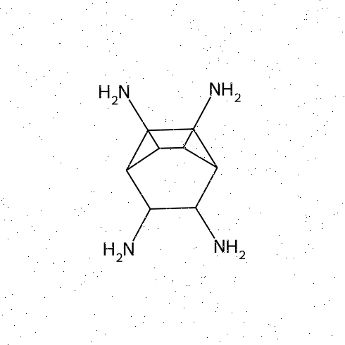 NC1C(N)C2CCC1C(N)C2N